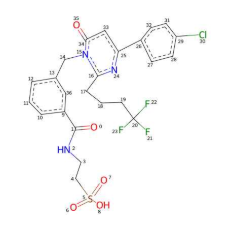 O=C(NCCS(=O)(=O)O)c1cccc(Cn2c(CCCC(F)(F)F)nc(-c3ccc(Cl)cc3)cc2=O)c1